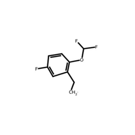 [CH2]Cc1cc(F)ccc1OC(F)F